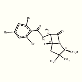 CC(=O)[C@]1(NC(=O)c2c(Br)cc(Br)cc2Br)C(=O)N2[C@@H](C(=O)O)C(C)(C)S[C@@H]21